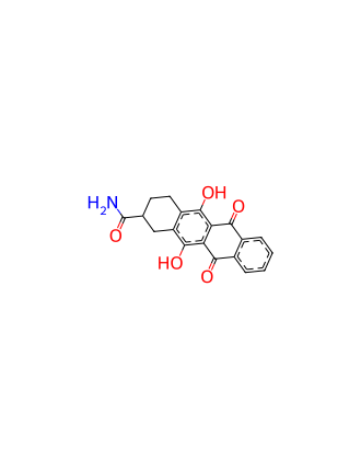 NC(=O)C1CCc2c(O)c3c(c(O)c2C1)C(=O)c1ccccc1C3=O